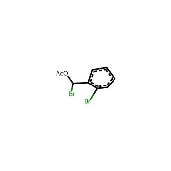 CC(=O)OC(Br)c1ccccc1Br